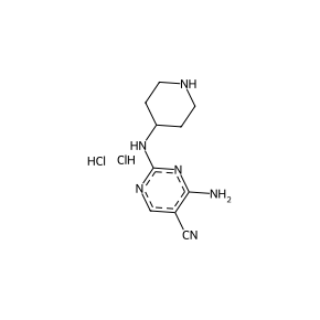 Cl.Cl.N#Cc1cnc(NC2CCNCC2)nc1N